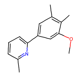 COc1cc(-c2cccc(C)n2)cc(C)c1C